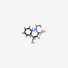 CCN1c2ccccc2C(C)=CC1I